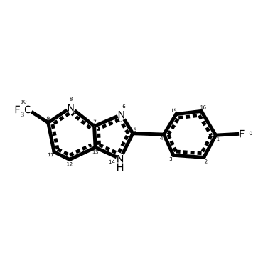 Fc1ccc(-c2nc3nc(C(F)(F)F)ccc3[nH]2)cc1